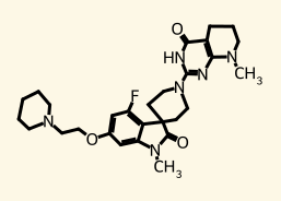 CN1CCCc2c1nc(N1CCC3(CC1)C(=O)N(C)c1cc(OCCN4CCCCC4)cc(F)c13)[nH]c2=O